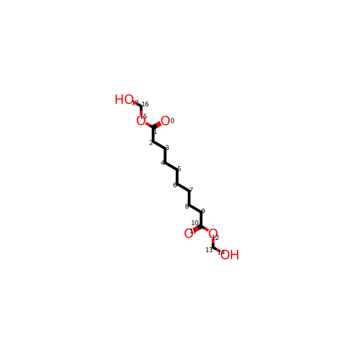 O=C(CCCCCCCCC(=O)OCO)OCO